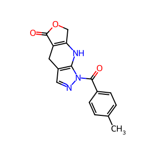 Cc1ccc(C(=O)n2ncc3c2NC2=C(C3)C(=O)OC2)cc1